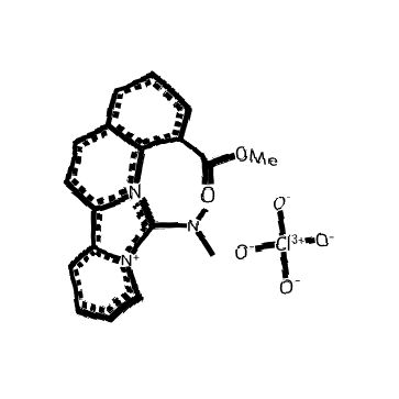 COC(=O)c1cccc2ccc3c4cccc[n+]4c(N(C)C)n3c12.[O-][Cl+3]([O-])([O-])[O-]